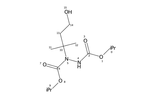 CC(C)OC(=O)NN(C(=O)OC(C)C)C(C)(C)CCO